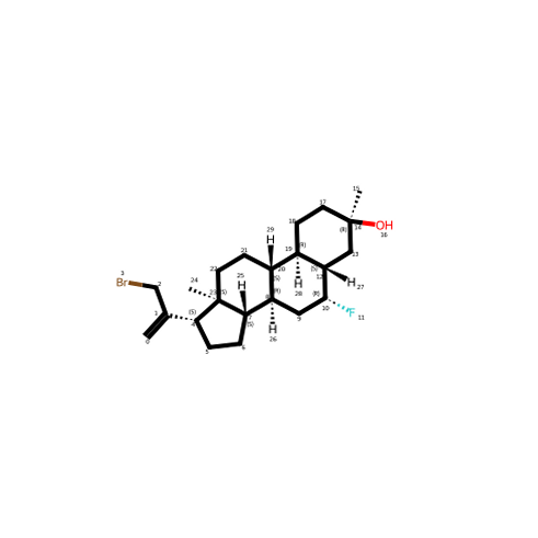 C=C(CBr)[C@H]1CC[C@H]2[C@@H]3C[C@@H](F)[C@H]4C[C@](C)(O)CC[C@@H]4[C@H]3CC[C@]12C